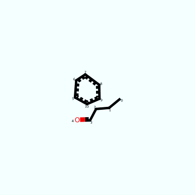 CCCC=O.c1ccccc1